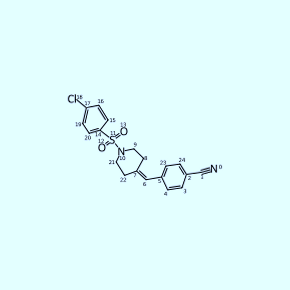 N#Cc1ccc(C=C2CCN(S(=O)(=O)c3ccc(Cl)cc3)CC2)cc1